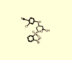 N#Cc1ccc(N[C@H](CNS(=O)(=O)c2ccccc2[N+](=O)[O-])CC(=O)O)cc1Cl